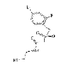 O=C(CS(=O)(=O)Cc1ccc(Br)cc1F)NCCO